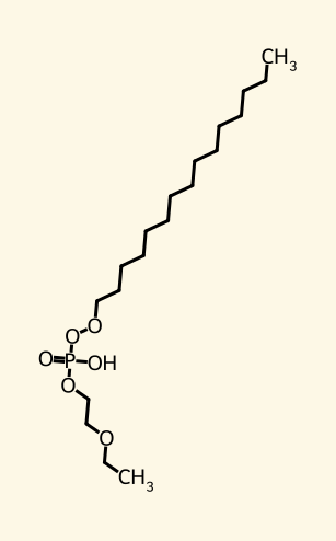 CCCCCCCCCCCCCCCOOP(=O)(O)OCCOCC